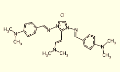 CN(C)/C=C/c1n(/N=C/c2ccc(N(C)C)cc2)cc[n+]1/N=C/c1ccc(N(C)C)cc1.[Cl-]